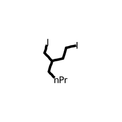 CCCCC(CI)CCI